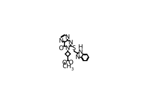 COC(=O)C1CC(n2c(SCc3nc4ccccc4[nH]3)nc3nccnc3c2=O)C1